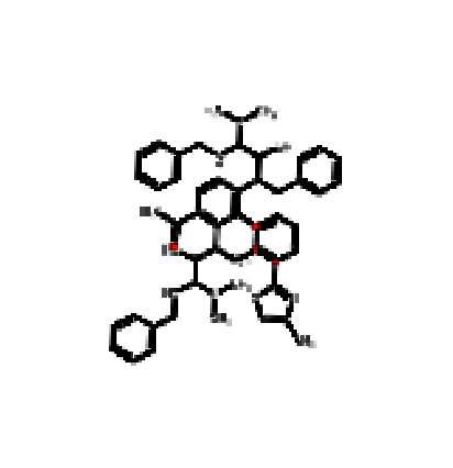 Cc1csc(CN(C)C(=O)c2c(C(Cc3ccccc3)C(O)C(NCc3ccccc3)N(C)C)ccc(C(N)=O)c2C(Cc2ccccc2)C(O)C(NCc2ccccc2)N(C)C)n1